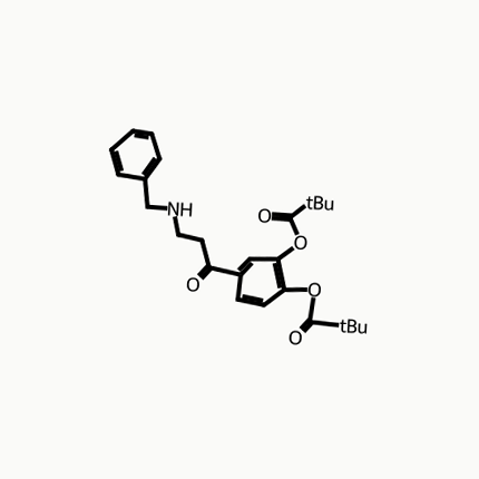 CC(C)(C)C(=O)Oc1ccc(C(=O)CCNCc2ccccc2)cc1OC(=O)C(C)(C)C